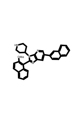 COc1ccc2ccccc2c1-c1nc2cc(-c3ccc4ccccc4c3)cnc2n1C1CCNCC1